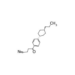 CCC[C@H]1CC[C@H](c2ccc(C(=O)CCC#N)cc2)CC1